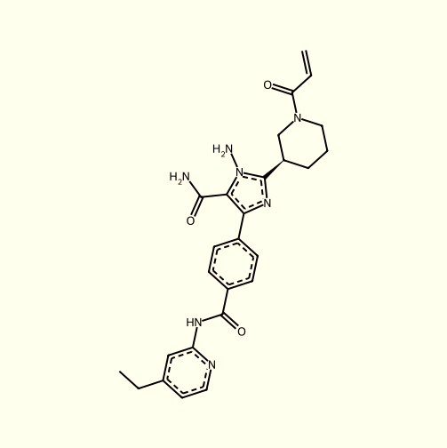 C=CC(=O)N1CCC[C@@H](c2nc(-c3ccc(C(=O)Nc4cc(CC)ccn4)cc3)c(C(N)=O)n2N)C1